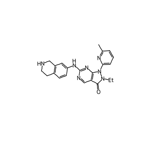 CCn1c(=O)c2cnc(Nc3ccc4c(c3)CNCC4)nc2n1-c1cccc(C)n1